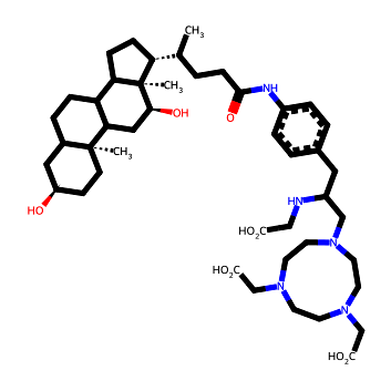 CC(CCC(=O)Nc1ccc(CC(CN2CCN(CC(=O)O)CCN(CC(=O)O)CC2)NCC(=O)O)cc1)[C@H]1CCC2C3CCC4C[C@H](O)CC[C@]4(C)C3C[C@H](O)[C@@]21C